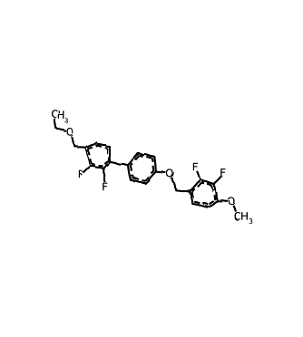 CCOCc1ccc(-c2ccc(OCc3ccc(OC)c(F)c3F)cc2)c(F)c1F